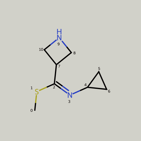 CS/C(=N/C1CC1)C1CNC1